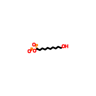 O=POC(CCCCCCCCCO)P=O